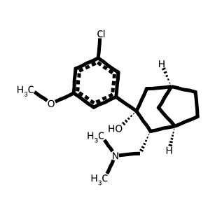 COc1cc(Cl)cc([C@@]2(O)C[C@H]3CC[C@H](C3)[C@@H]2CN(C)C)c1